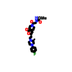 COC(=O)NCC(=O)N1CCC2(CC1)C[C@H](CCN1CCN(c3ccc(F)cc3)C[C@@H]1C)OC2=O